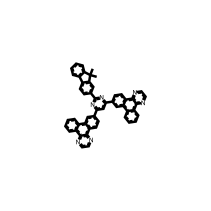 CC1(C)c2ccccc2-c2ccc(-c3nc(-c4ccc5c(c4)c4ccccc4c4nccnc54)cc(-c4ccc5c(c4)c4ccccc4c4nccnc54)n3)cc21